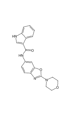 O=C(Nc1ccc2nc(N3CCOCC3)oc2c1)c1c[nH]c2ccccc12